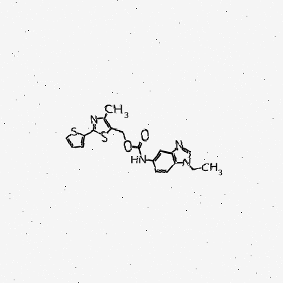 CCn1cnc2cc(NC(=O)OCc3sc(-c4cccs4)nc3C)ccc21